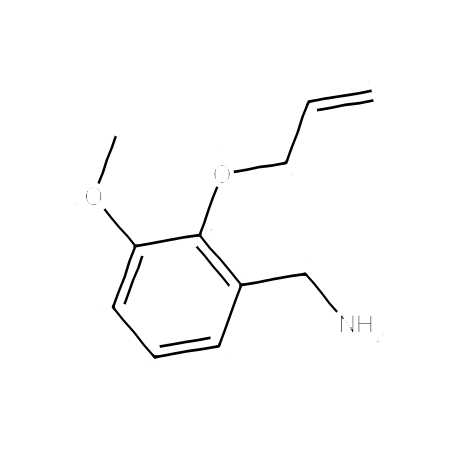 C=CCOc1c(CN)cccc1OC